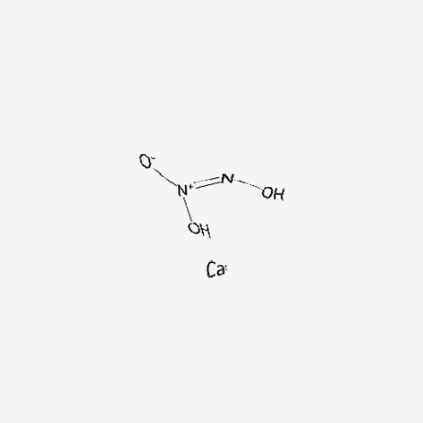 [Ca].[O-][N+](O)=NO